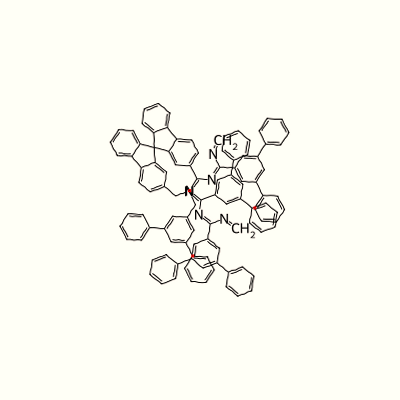 C=N/C(=N\C(=N/Cc1ccc2c(c1)C1(c3ccccc3-2)c2ccccc2-c2ccc(C(/N=C(\N=C)c3cc(-c4ccccc4)cc(-c4ccccc4)c3)=N/Cc3cc(-c4ccccc4)cc(-c4ccccc4)c3)cc21)c1cc(-c2ccccc2)cc(-c2ccccc2)c1)c1cc(-c2ccccc2)cc(-c2ccccc2)c1